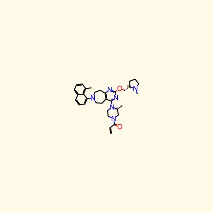 C=CC(=O)N1CCN(c2nc(OC[C@@H]3CCCN3C)nc3c2CCN(c2cccc4cccc(C)c24)CC3)[C@@H](C)C1